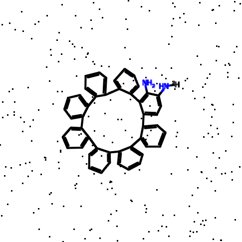 [2H]Nc1ccc2c(c1N)-c1ccccc1-c1ccccc1-c1ccccc1-c1ccccc1-c1ccccc1-c1ccccc1-c1ccccc1-2